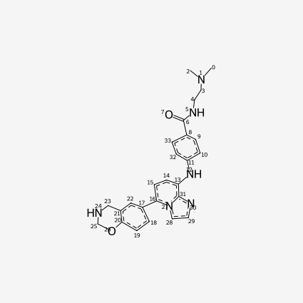 CN(C)CCNC(=O)c1ccc(Nc2ccc(-c3ccc4c(c3)CNCO4)n3ccnc23)cc1